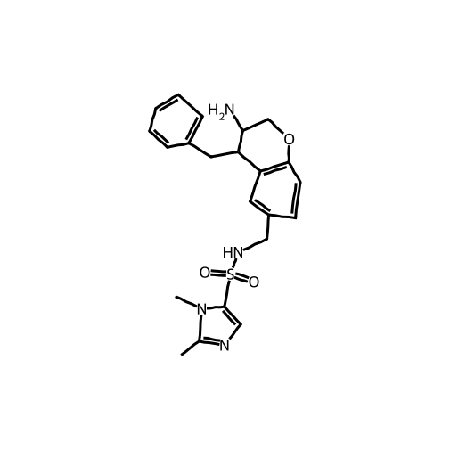 Cc1ncc(S(=O)(=O)NCc2ccc3c(c2)C(Cc2ccccc2)C(N)CO3)n1C